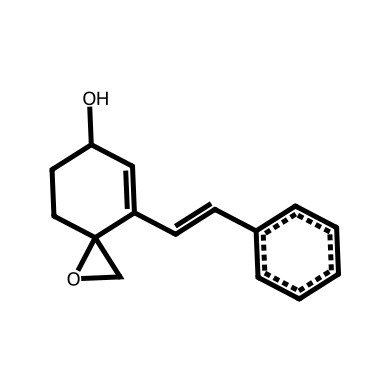 OC1C=C(C=Cc2ccccc2)C2(CC1)CO2